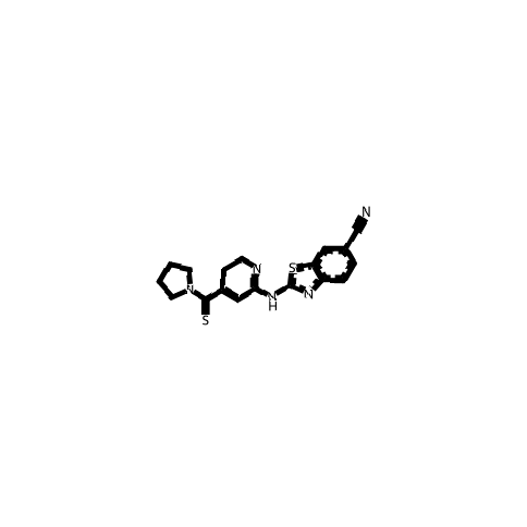 N#Cc1ccc2nc(NC3=NCCC(C(=S)N4CCCC4)=C3)sc2c1